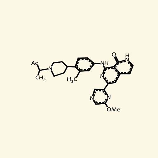 COc1cncc(-c2cc3cc[nH]c(=O)c3c(Nc3ccc(C4CCN(C(C)C(C)=O)CC4)c(C)c3)n2)n1